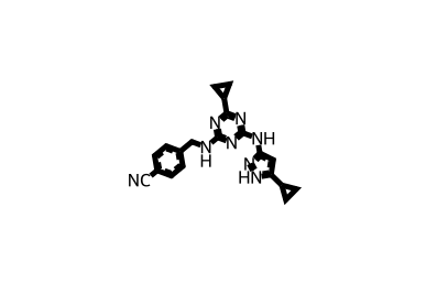 N#Cc1ccc(CNc2nc(Nc3cc(C4CC4)[nH]n3)nc(C3CC3)n2)cc1